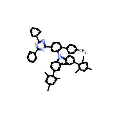 Cc1cc(C)c(-c2ccc3c(c2)c2cc(-c4c(C)cc(C)cc4C)ccc2n3-c2cc(-c3nc(-c4ccccc4)nc(-c4ccccc4)n3)ccc2-c2ccc(C(F)(F)F)cc2)c(C)c1